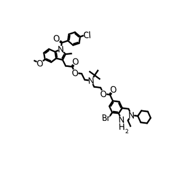 CCN(Cc1cc(C(=O)OCCN(CCOC(=O)Cc2c(C)n(C(=O)c3ccc(Cl)cc3)c3ccc(OC)cc23)C(C)(C)C)cc(Br)c1N)C1CCCCC1